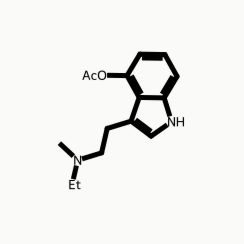 CCN(C)CCc1c[nH]c2cccc(OC(C)=O)c12